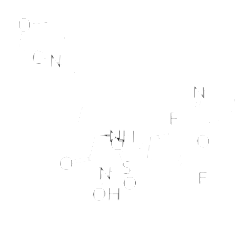 N[C@H](CCCCN1CCOCC1)C(=O)N(O)S(=O)(=O)c1cc(F)c(Oc2cccnc2)c(F)c1